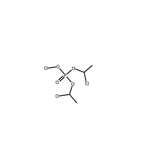 CC(Cl)OP(=O)(OCl)OC(C)Cl